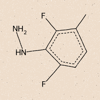 Cc1ccc(F)c(NN)c1F